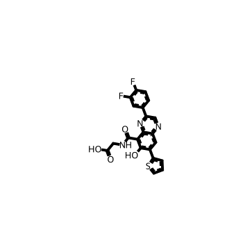 O=C(O)CNC(=O)c1c(O)c(-c2cccs2)cc2ncc(-c3ccc(F)c(F)c3)nc12